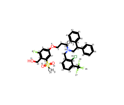 C[C@@H](CCOc1cc(F)c(CO)c(S(C)(=O)=O)c1)N(Cc1cccc(C(F)(F)F)c1Cl)CC(c1ccccc1)c1ccccc1